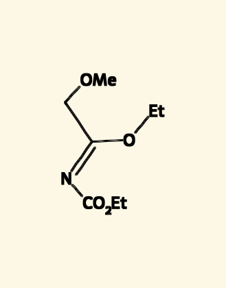 CCOC(=O)N=C(COC)OCC